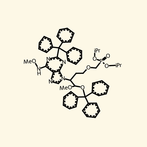 CONc1nc(C(c2ccccc2)(c2ccccc2)c2ccccc2)nc2c1ncn2C(CCOCP(=O)(OC(C)C)OC(C)C)C(OC)OC(c1ccccc1)(c1ccccc1)c1ccccc1